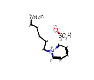 CCCCCCCCCCCCCC[n+]1ccccc1.O=S(=O)([O-])O